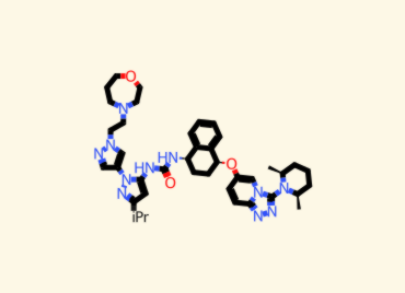 CC(C)c1cc(NC(=O)N[C@H]2CC[C@@H](Oc3ccc4nnc(N5[C@H](C)CCC[C@@H]5C)n4c3)c3ccccc32)n(-c2cnn(CCN3CCCOCC3)c2)n1